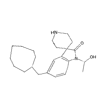 CC(O)N1C(=O)C2(CCNCC2)c2cc(CC3CCCCCCC3)ccc21